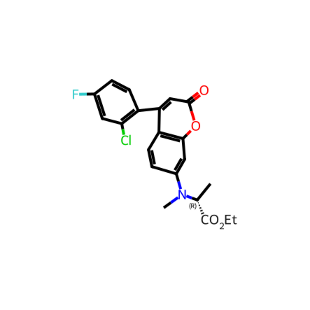 CCOC(=O)[C@@H](C)N(C)c1ccc2c(-c3ccc(F)cc3Cl)cc(=O)oc2c1